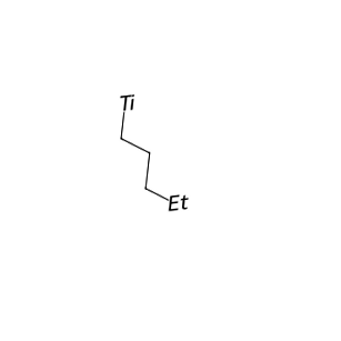 CCCC[CH2][Ti]